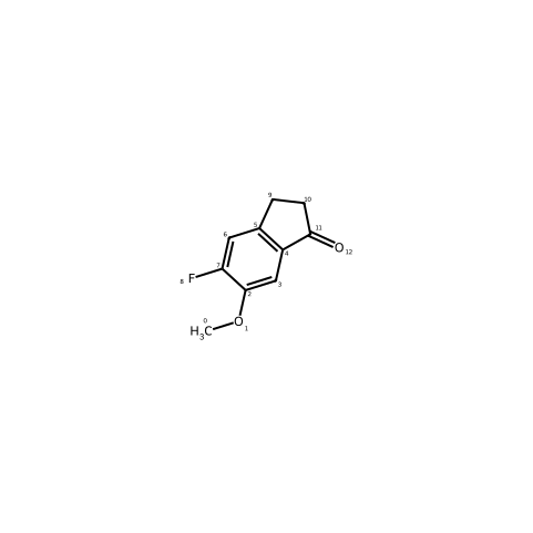 COc1cc2c(cc1F)CCC2=O